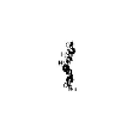 C=CC(=O)N1CCCC(Nc2nc(Nc3ccc4c(c3)CN(CC3CCN(C(=O)OC(C)(C)C)CC3)C4)ncc2F)C1